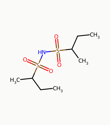 CCC(C)S(=O)(=O)NS(=O)(=O)C(C)CC